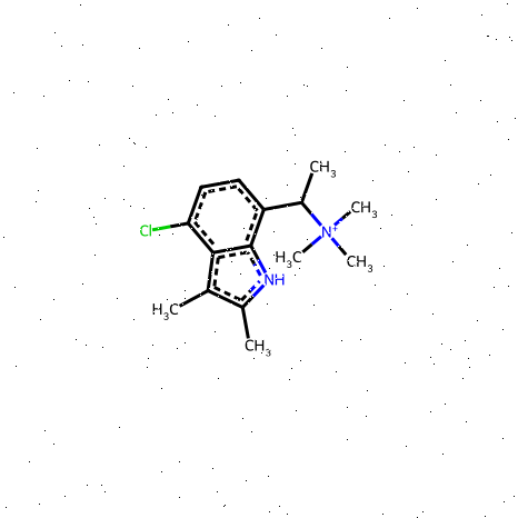 Cc1[nH]c2c(C(C)[N+](C)(C)C)ccc(Cl)c2c1C